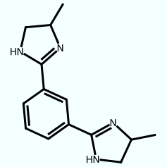 CC1CNC(c2cccc(C3=NC(C)CN3)c2)=N1